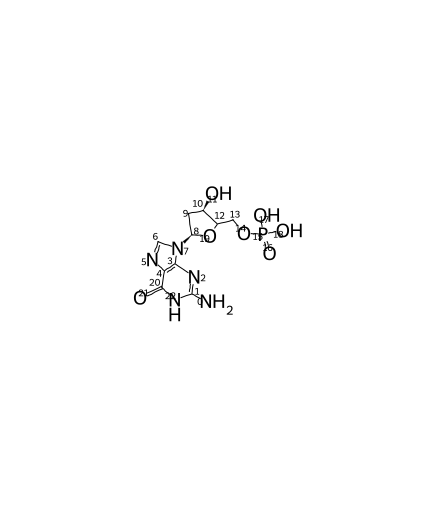 Nc1nc2c(ncn2[C@H]2C[C@@H](O)C(COP(=O)(O)O)O2)c(=O)[nH]1